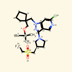 CC(C)(C)[Si](C)(C)OCC1(Cn2nc(N3CC[C@@H](CS(=O)(=O)CC(F)(F)F)C3)c3cnc(Cl)cc32)CCCC1